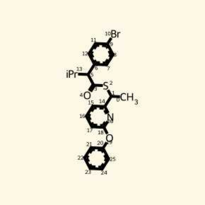 CC(SC(=O)C(c1ccc(Br)cc1)C(C)C)c1cccc(Oc2ccccc2)n1